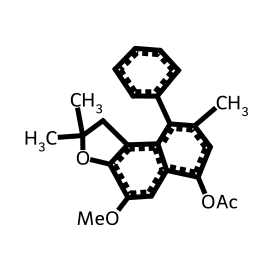 COc1cc2c(OC(C)=O)cc(C)c(-c3ccccc3)c2c2c1OC(C)(C)C2